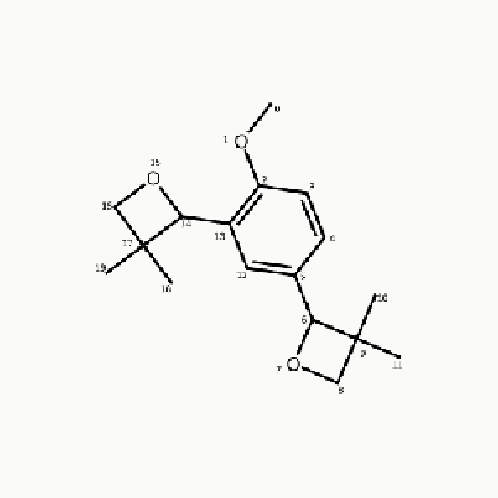 COc1ccc(C2OCC2(C)C)cc1C1OCC1(C)C